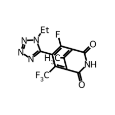 CCn1nnnc1-c1c(F)c2c(C)c(c1C(F)(F)F)C(=O)NC2=O